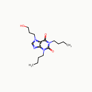 CCCCn1c(=O)c2c(ncn2CCCO)n(CCCC)c1=O